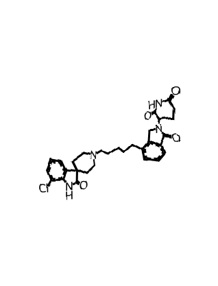 O=C1CCC(N2Cc3c(CCCCCN4CCC5(CC4)C(=O)Nc4c(Cl)cccc45)cccc3C2=O)C(=O)N1